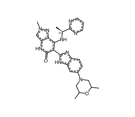 CC1CN(c2ccc3nc(-c4c(N[C@@H](C)c5ncccn5)c5nn(C)cc5[nH]c4=O)[nH]c3c2)CC(C)O1